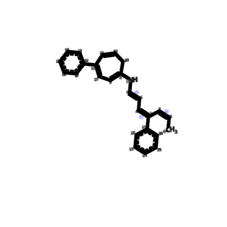 C\C=C/C(=C\C=C\NC1=CC=C(c2ccccc2)C=CC1)c1ccccc1